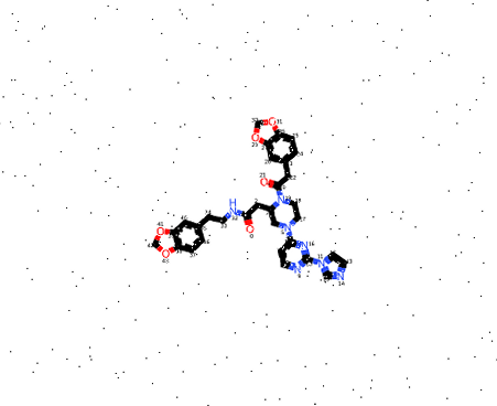 O=C(CC1CN(c2ccnc(-n3ccnc3)n2)CCN1C(=O)Cc1ccc2c(c1)OCO2)NCCc1ccc2c(c1)OCO2